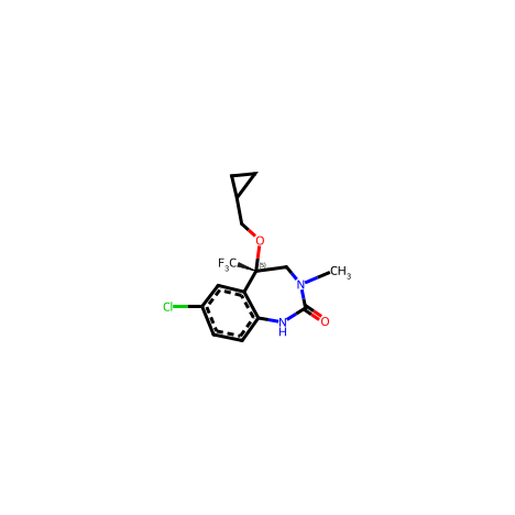 CN1C[C@](OCC2CC2)(C(F)(F)F)c2cc(Cl)ccc2NC1=O